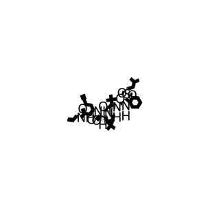 C#CCCC(NC(=O)[C@@H]1[C@@H]2C(CN1C(=O)[C@@H](NC(=O)NC1(CS(=O)(=O)CCC(C)C)CCCCC1)C(C)(C)C)C2(C)C)C(=O)C(=O)NCC=C